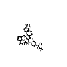 Cc1cccc(C(C)C)c1-n1c(=O)nc(N2CCN(C(=O)OC(C)(C)C)C[C@@H]2C)c2cc(F)c(-c3ccc(N)cc3F)nc21